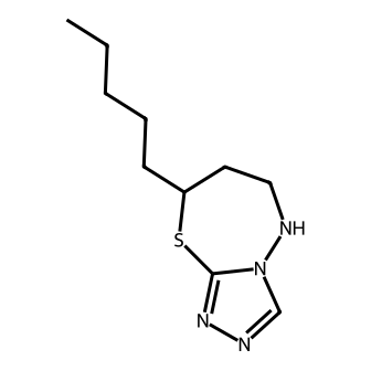 CCCCCC1CCNn2cnnc2S1